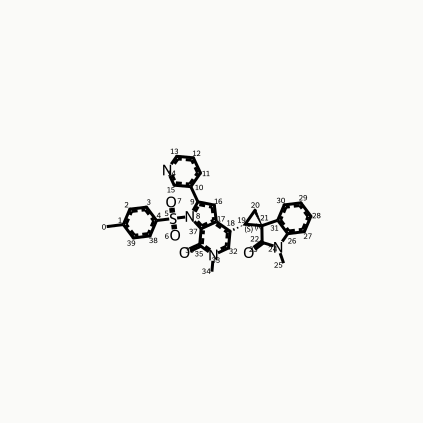 Cc1ccc(S(=O)(=O)n2c(-c3cccnc3)cc3c([C@@H]4C[C@@]45C(=O)N(C)c4ccccc45)cn(C)c(=O)c32)cc1